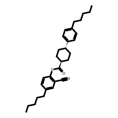 CCCCCc1ccc([C@H]2CC[C@H](C(=O)Oc3ccc(CCCCC)cc3C#N)CC2)cc1